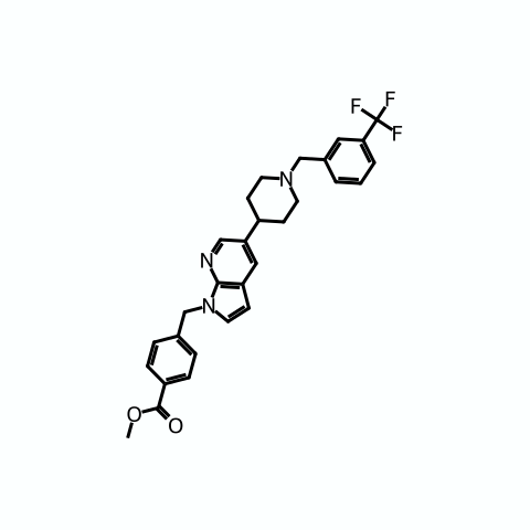 COC(=O)c1ccc(Cn2ccc3cc(C4CCN(Cc5cccc(C(F)(F)F)c5)CC4)cnc32)cc1